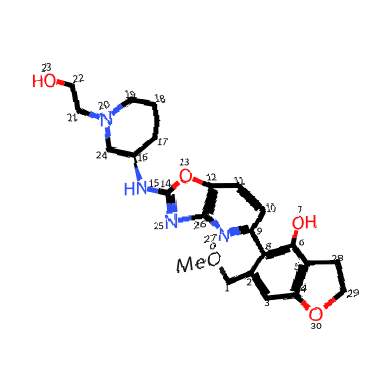 COCc1cc2c(c(O)c1-c1ccc3oc(N[C@@H]4CCCN(CCO)C4)nc3n1)CCO2